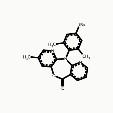 Cc1cnc2c(c1)OC(=O)c1cccnc1N2c1c(C)cc(C(C)(C)C)cc1C